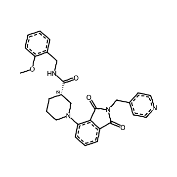 COc1ccccc1CNC(=O)[C@H]1CCCN(c2cccc3c2C(=O)N(Cc2ccncc2)C3=O)C1